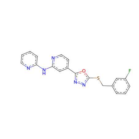 Fc1cccc(CSc2nnc(-c3ccnc(Nc4ccccn4)c3)o2)c1